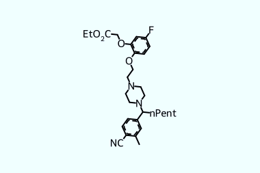 CCCCCC(c1ccc(C#N)c(C)c1)N1CCN(CCOc2ccc(F)cc2OCC(=O)OCC)CC1